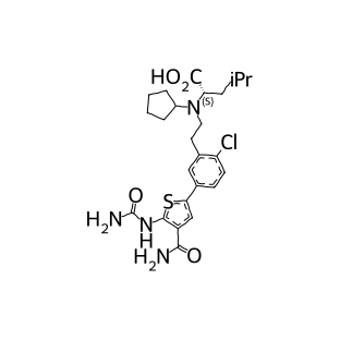 CC(C)C[C@@H](C(=O)O)N(CCc1cc(-c2cc(C(N)=O)c(NC(N)=O)s2)ccc1Cl)C1CCCC1